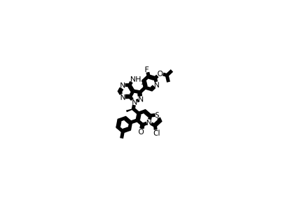 Cc1cccc(-c2c([C@@H](C)n3nc(-c4cnc(OC(C)C)c(F)c4)c4c(N)ncnc43)cc3scc(Cl)n3c2=O)c1